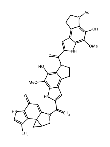 C=C(c1cc2c3c(c(O)c(OC)c2[nH]1)N(C(=O)c1cc2c4c(c(O)c(OC)c2[nH]1)N(C(C)=O)CC4)CC3)N1CC2CC23C1=CC(=O)c1[nH]cc(C)c13